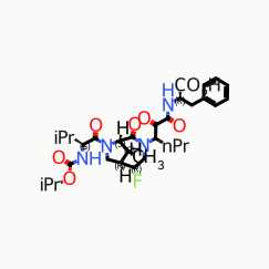 CCCC(C(=O)C(=O)N[C@H](Cc1ccccc1)C(=O)O)N1C[C@H](F)[C@H]2CN(C(=O)[C@@H](NC(=O)OC(C)C)C(C)C)[C@H](C1=O)[C@H]2C